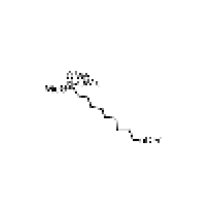 CCCCCCCCCCCCCCCCCCC[Si](OC)(OC)OC